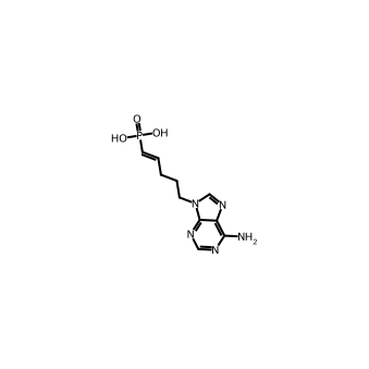 Nc1ncnc2c1ncn2CCCC=CP(=O)(O)O